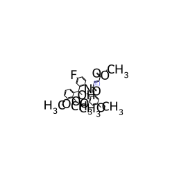 CCOC(=O)/C=C/C(=O)N(Cc1ccc(OC)cc1OC)c1ccc(F)cc1C(O)c1cccc(OC)c1OC